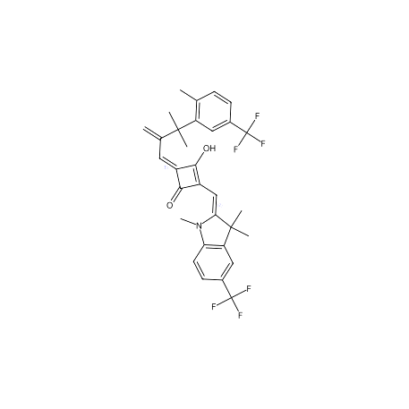 C=C(/C=C1/C(=O)C(/C=C2\N(C)c3ccc(C(F)(F)F)cc3C2(C)C)=C1O)C(C)(C)c1cc(C(F)(F)F)ccc1C